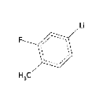 [Li][c]1ccc(C)c(F)c1